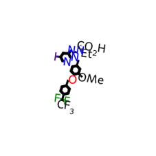 CCN(C(=O)O)c1nc2cc(I)cnc2n1Cc1ccc(OCc2ccc(C(F)(F)C(F)(F)F)cc2)c(OC)c1